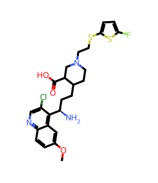 COc1ccc2ncc(Cl)c([C@H](N)CCC3CCN(CCSc4ccc(F)s4)CC3C(=O)O)c2c1